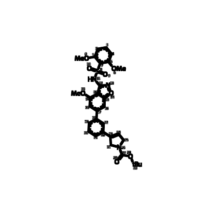 COc1cccc(OC)c1S(=O)(=O)Nc1noc2cc(-c3cccc(C4=CCN(C(=O)OC(C)(C)C)C4)c3)cc(OC)c12